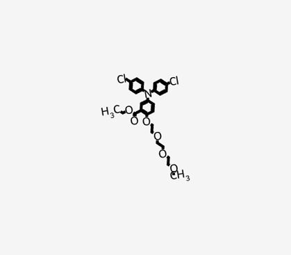 CCOC(=O)c1cc(N(c2ccc(Cl)cc2)c2ccc(Cl)cc2)ccc1OCCOCCOCCOC